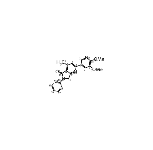 COc1cc(-c2cc(C)c3c(n2)CN(c2ncccn2)C3=O)cnc1OC